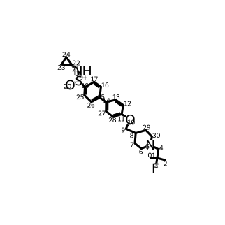 CC(C)(F)CN1CCC(COc2ccc(-c3ccc([S+]([O-])NC4CC4)cc3)cc2)CC1